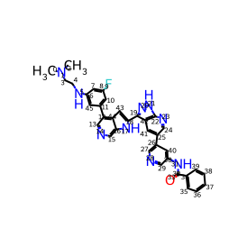 CN(C)CCNc1cc(F)cc(-c2cncc3[nH]c(-c4n[nH]c5ncc(-c6cncc(NC(=O)c7ccccc7)c6)cc45)cc23)c1